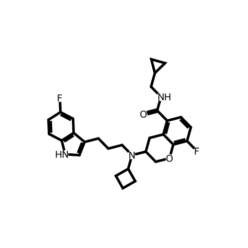 O=C(NCC1CC1)c1ccc(F)c2c1CC(N(CCCc1c[nH]c3ccc(F)cc13)C1CCC1)CO2